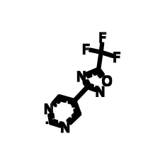 FC(F)(F)c1nc(-c2cn[c]nc2)no1